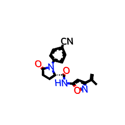 C=C(C)c1cc(NC(=O)[C@@H]2CCC(=O)N2c2ccc(C#N)cc2)on1